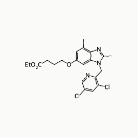 CCOC(=O)CCCOc1cc(C)c2nc(C)n(Cc3ncc(Cl)cc3Cl)c2c1